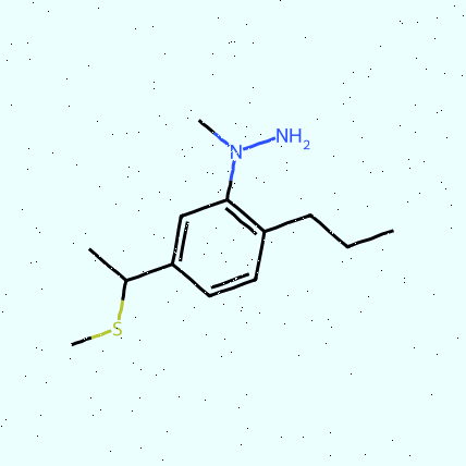 CCCc1ccc(C(C)SC)cc1N(C)N